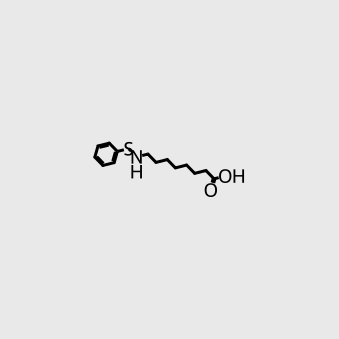 O=C(O)CCCCCCCNSc1ccccc1